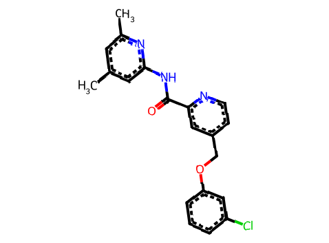 Cc1cc(C)nc(NC(=O)c2cc(COc3cccc(Cl)c3)ccn2)c1